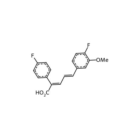 COc1cc(C=CC=C(C(=O)O)c2ccc(F)cc2)ccc1F